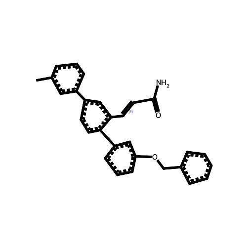 Cc1cccc(-c2ccc(-c3cccc(OCc4ccccc4)c3)c(/C=C/C(N)=O)c2)c1